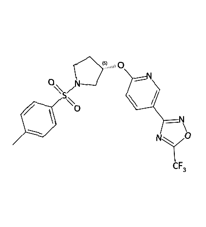 Cc1ccc(S(=O)(=O)N2CC[C@H](Oc3ccc(-c4noc(C(F)(F)F)n4)cn3)C2)cc1